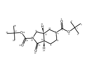 CC(C)(C)OC(=O)N1CC[C@@H]2C(=O)N(C(=O)OC(C)(C)C)C[C@@H]2C1